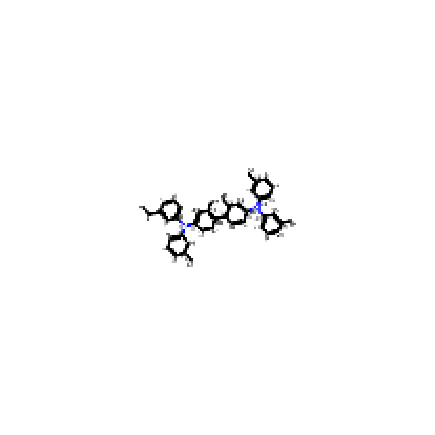 CCc1cccc(N(c2cccc(C)c2)c2ccc(-c3ccc(N(c4cccc(C)c4)c4cccc(C)c4)cc3C)c(C)c2)c1